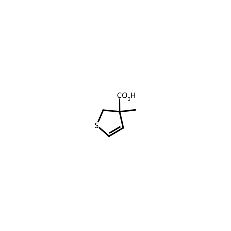 CC1(C(=O)O)[CH]S[C]=C1